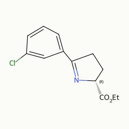 CCOC(=O)[C@H]1CCC(c2cccc(Cl)c2)=N1